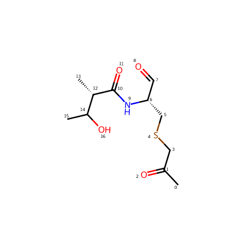 CC(=O)CSC[C@@H](C=O)NC(=O)[C@@H](C)C(C)O